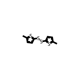 Cc1ccc(SSc2ccc(C)s2)s1